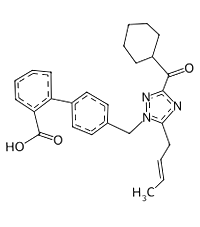 CC=CCc1nc(C(=O)C2CCCCC2)nn1Cc1ccc(-c2ccccc2C(=O)O)cc1